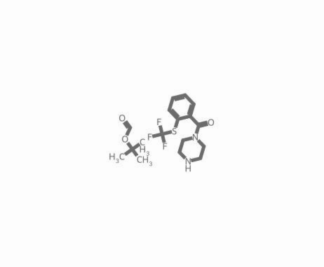 CC(C)(C)OC=O.O=C(c1ccccc1SC(F)(F)F)N1CCNCC1